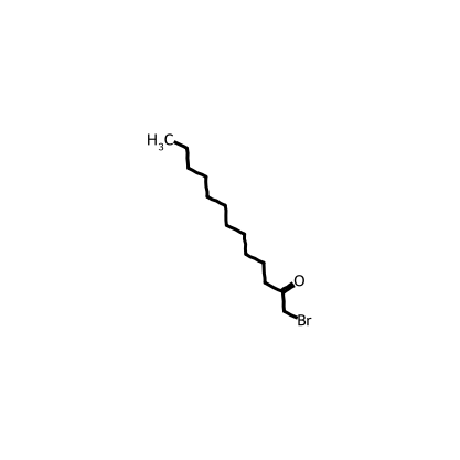 CCCCCCCCCCCC(=O)CBr